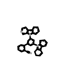 N#Cc1ccccc1-c1cc(-n2c3c(c4ccccc42)C=CCC3)cc(-n2c3ccccc3c3ccncc32)c1